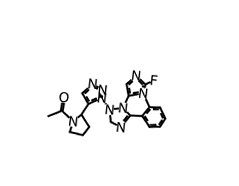 CC(=O)N1CCCC1c1cnnn1N1CN=C2c3ccccc3-n3c(cnc3F)N21